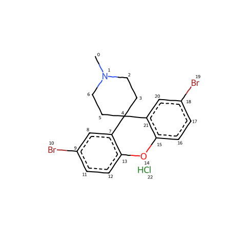 CN1CCC2(CC1)c1cc(Br)ccc1Oc1ccc(Br)cc12.Cl